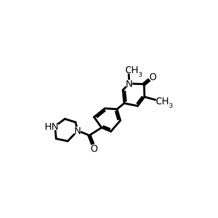 Cc1cc(-c2ccc(C(=O)N3CCNCC3)cc2)cn(C)c1=O